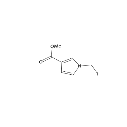 COC(=O)c1ccn(CI)c1